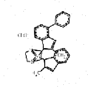 CC1=Cc2ccccc2[CH]1[Zr+2]1([CH]2C(C)=Cc3c(-c4ccccc4)cccc32)=[Si]2CC[Si]=1CC2.[Cl-].[Cl-]